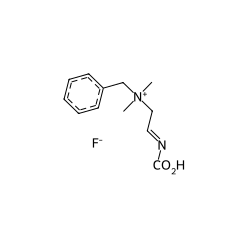 C[N+](C)(CC=NC(=O)O)Cc1ccccc1.[F-]